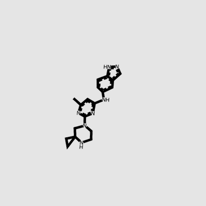 Cc1cc(Nc2ccc3[nH]ncc3c2)nc(N2CCNC3(CC3)C2)n1